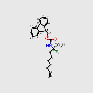 C#CCCCCC[C@](F)(NC(=O)OCC1c2ccccc2-c2ccccc21)C(=O)O